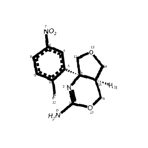 NC1=N[C@@]2(c3cc([N+](=O)[O-])ccc3F)COC[C@H]2CO1